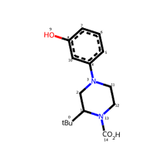 CC(C)(C)C1CN(c2cccc(O)c2)CCN1C(=O)O